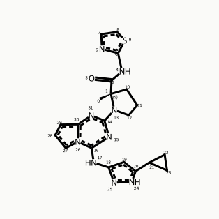 C[C@@]1(C(=O)Nc2nccs2)CCCN1c1nc(Nc2cc(C3CC3)[nH]n2)n2cccc2n1